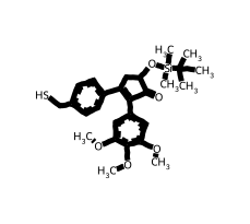 COc1cc(C2=C(c3ccc(CS)cc3)CC(O[Si](C)(C)C(C)(C)C)C2=O)cc(OC)c1OC